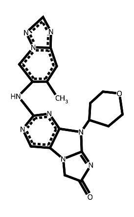 Cc1cc2ncnn2cc1Nc1ncc2c(n1)N(C1CCOCC1)C1=NC(=O)CN12